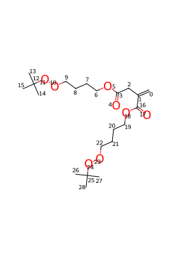 C=C(CC(=O)OCCCCOOC(C)(C)C)C(=O)OCCCCOOC(C)(C)C